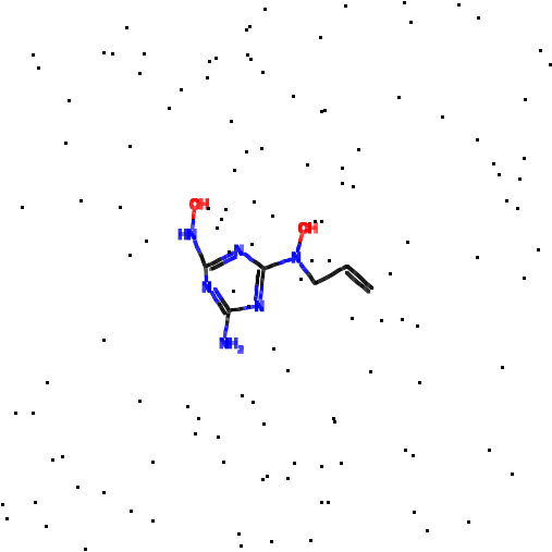 C=CCN(O)c1nc(N)nc(NO)n1